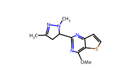 COc1nc(C2CC(C)=NN2C)nc2ccsc12